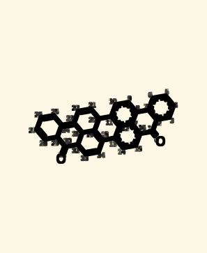 O=C1c2ccccc2-c2ccc3c4c(ccc1c24)C1=C2C3C=CC3=C4C=CC=CC4C(=O)C(C=C1)C32